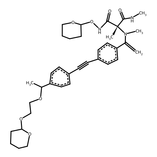 C=C(c1ccc(C#Cc2ccc(C(C)OCCOC3CCCCO3)cc2)cc1)N(C)[C@@](C)(C(=O)NC)C(=O)NOC1CCCCO1